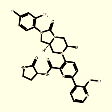 CCOc1ncccc1-c1ccc(N2C[C@H]3CN(c4ccc(Cl)cc4C(F)(F)F)C(=O)N3C[C@H]2CC)c(C(=O)N[C@H]2CCNC2=O)n1